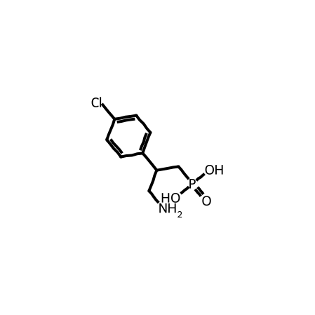 NCC(CP(=O)(O)O)c1ccc(Cl)cc1